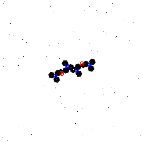 c1ccc(N(c2ccccc2)c2ccc3oc(-c4ccc5c6c7ccc8c(c7ccc6n(-c6ccccc6)c5c4)c4ccc(-c5cc6ccc(N(c7ccccc7)c7ccccc7)cc6o5)cc4n8-c4ccccc4)cc3c2)cc1